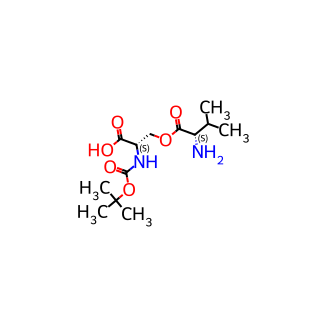 CC(C)[C@H](N)C(=O)OC[C@H](NC(=O)OC(C)(C)C)C(=O)O